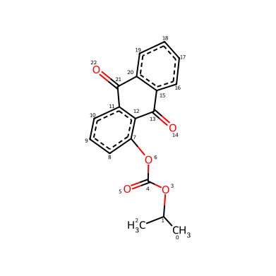 CC(C)OC(=O)Oc1cccc2c1C(=O)c1ccccc1C2=O